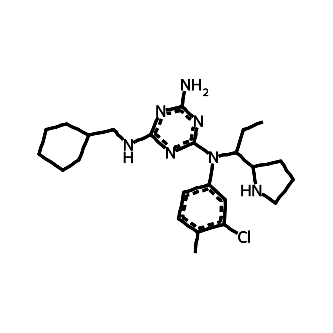 CCC(C1CCCN1)N(c1ccc(C)c(Cl)c1)c1nc(N)nc(NCC2CCCCC2)n1